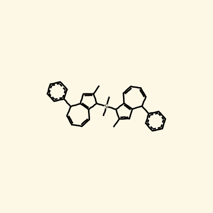 CC1=CC2=C(C=CC=CC2c2ccccc2)C1[Si](C)(C)C1C(C)=CC2=C1C=CC=CC2c1ccccc1